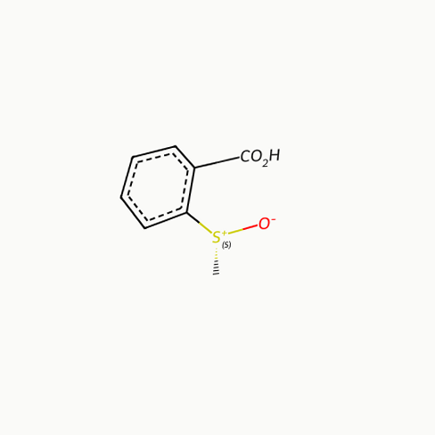 C[S@@+]([O-])c1ccccc1C(=O)O